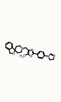 Cc1oc(-c2ccc(N3C=NCC3)cc2)nc1CN1CCC2(CC1)OCc1ccccc12